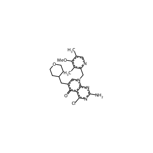 COc1c(C)cnc(Cn2cc(CC3CCOCC3)c(=O)c3c(Cl)nc(N)nc32)c1C